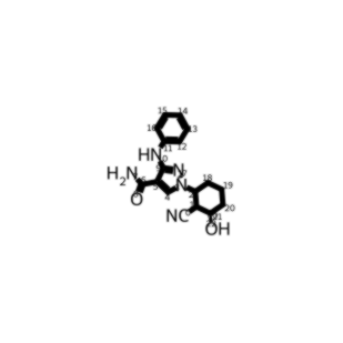 N#CC1C(n2cc(C(N)=O)c(Nc3ccccc3)n2)CCC[C@H]1O